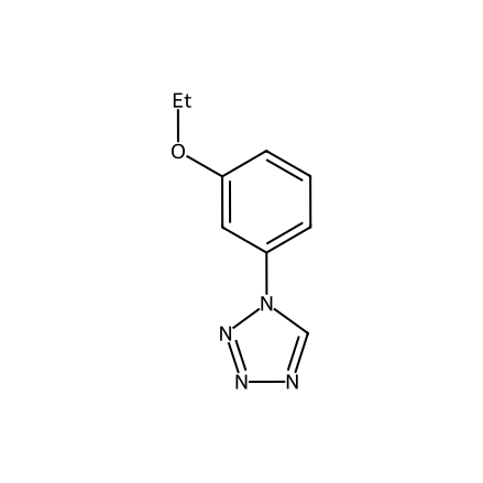 CCOc1cccc(-n2cnnn2)c1